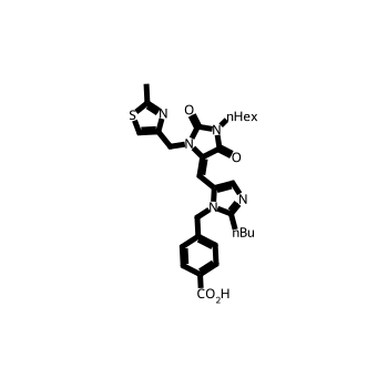 CCCCCCN1C(=O)/C(=C\c2cnc(CCCC)n2Cc2ccc(C(=O)O)cc2)N(Cc2csc(C)n2)C1=O